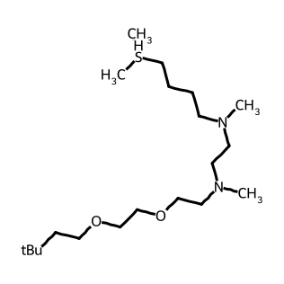 CN(CCCC[SH](C)C)CCN(C)CCOCCOCCC(C)(C)C